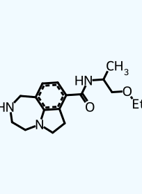 CCOCC(C)NC(=O)c1ccc2c3c1CCN3CCNC2